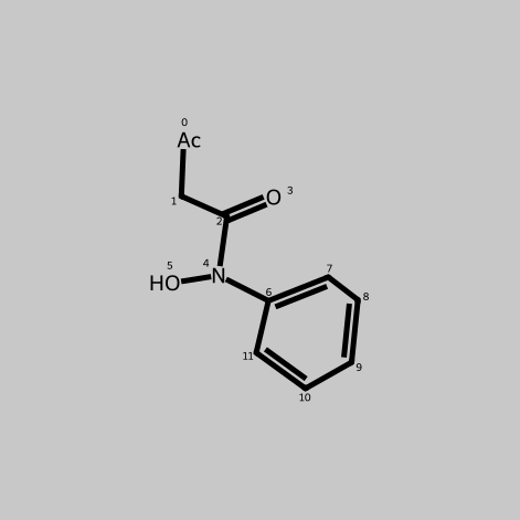 CC(=O)CC(=O)N(O)c1ccccc1